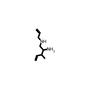 C=CCNCC(N)C(C)C=C